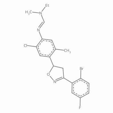 CCN(C)C=Nc1cc(C)c(C2CC(c3cc(F)ccc3Br)=NO2)cc1Cl